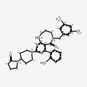 Cc1ccccc1-c1nc(N2CCC(N3CCCC3=O)CC2)nc2c1C(=O)N(Cc1cc(C(F)(F)F)cc(C(F)(F)F)c1)CCCN2